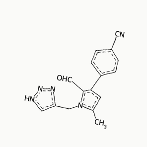 Cc1cc(-c2ccc(C#N)cc2)c(C=O)n1Cc1c[nH]nn1